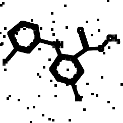 COC(=O)c1cc(Br)ccc1Nc1cccc(F)c1